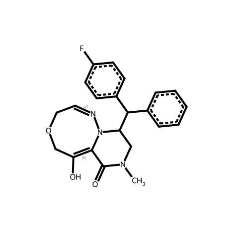 CN1CC(C(c2ccccc2)c2ccc(F)cc2)N2/N=C\COC/C(O)=C\2C1=O